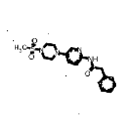 CS(=O)(=O)N1CCN(c2ccc(NC(=O)Cc3ccccc3)nc2)CC1